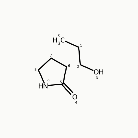 CCCO.O=C1CCCN1